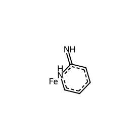 N=c1cccc[nH]1.[Fe]